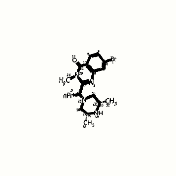 CCCC(c1nc2cc(Br)ccc2c(=O)n1C)N1C[C@@H](C)N[C@@H](C)C1